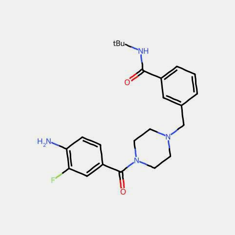 CC(C)(C)NC(=O)c1cccc(CN2CCN(C(=O)c3ccc(N)c(F)c3)CC2)c1